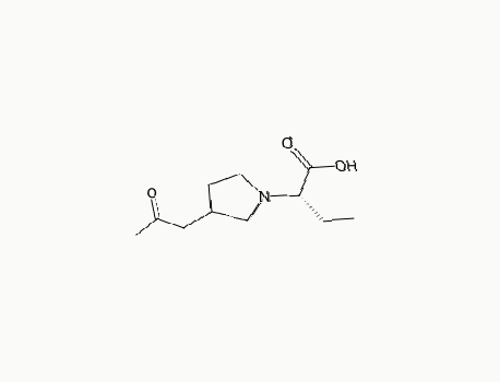 CC[C@@H](C(=O)O)N1CCC(CC(C)=O)C1